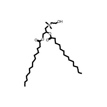 CCCCCCCCCCCCCC(=O)OCC(C[N+](C)(C)CCO)OC(=O)CCCCCCCCCCCCC